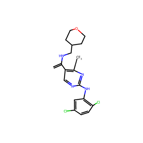 C=C(NCC1CCOCC1)c1cnc(Nc2cc(Cl)ccc2Cl)nc1C(F)(F)F